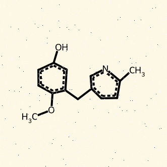 COc1ccc(O)cc1Cc1ccc(C)nc1